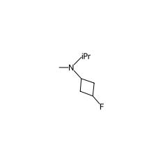 CC(C)N(C)C1CC(F)C1